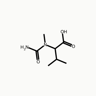 CC(C)C(C(=O)O)N(C)C(N)=O